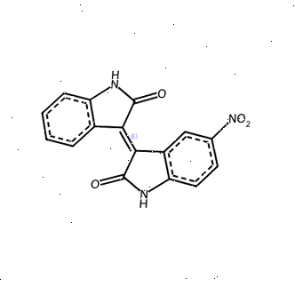 O=C1Nc2ccccc2/C1=C1\C(=O)Nc2ccc([N+](=O)[O-])cc21